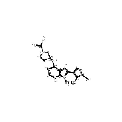 CCCn1c(-c2cnn(CC)c2C)nc2c(O[C@H]3CCN(C(=O)CC)C3)ncnc21